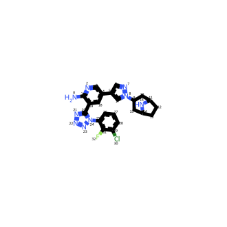 Nc1ncc(-c2cnn(C3CC4CCC(C3)N4)c2)cc1-c1nnnn1-c1cccc(Cl)c1F